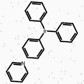 c1cc[c]([Ir]([c]2ccccc2)[c]2ccccc2)cc1.c1ccncc1